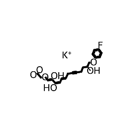 O=C([O-])COC=C(O)/C(O)=C\C=C\CC#CCC[C@H](O)COc1ccc(F)cc1.[K+]